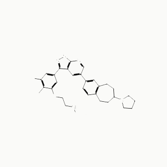 Cc1c(F)cc(-c2n[nH]c3ncc(-c4ccc5c(c4)CCC(N4CCCC4)CC5)cc23)cc1OCCNC=O